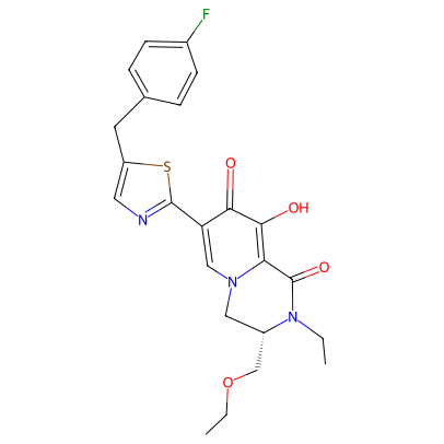 CCOC[C@@H]1Cn2cc(-c3ncc(Cc4ccc(F)cc4)s3)c(=O)c(O)c2C(=O)N1CC